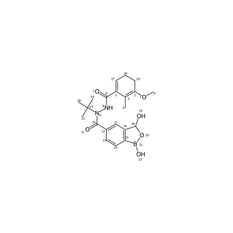 COC1=C(C)C(C(=O)NN(C(=O)c2ccc3c(c2)C(O)OB3O)C(C)(C)C)=CCC1